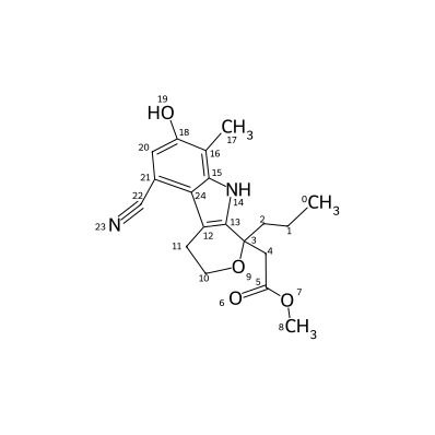 CCCC1(CC(=O)OC)OCCc2c1[nH]c1c(C)c(O)cc(C#N)c21